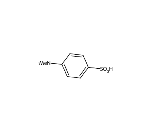 C[N]c1ccc(S(=O)(=O)O)cc1